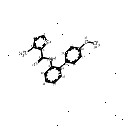 Cc1ccsc1C(=O)Nc1ccccc1-c1ccc(OC(F)(F)F)cc1